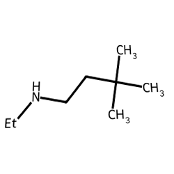 [CH2]CNCCC(C)(C)C